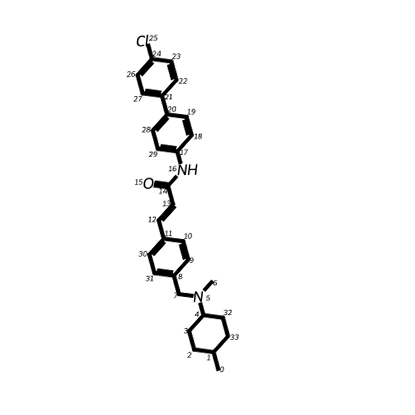 CC1CCC(N(C)Cc2ccc(C=CC(=O)Nc3ccc(-c4ccc(Cl)cc4)cc3)cc2)CC1